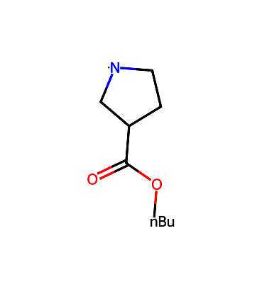 CCCCOC(=O)C1CC[N]C1